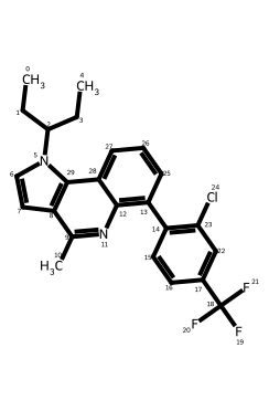 CCC(CC)n1ccc2c(C)nc3c(-c4ccc(C(F)(F)F)cc4Cl)cccc3c21